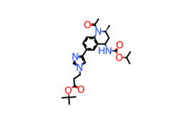 CC(=O)N1c2ccc(-c3cn(CCC(=O)OC(C)(C)C)cn3)cc2[C@H](NC(=O)OC(C)C)C[C@@H]1C